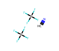 C#N.F[B-](F)(F)F.F[B-](F)(F)F